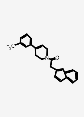 O=C(Cc1ccc2ccccc2c1)N1CC=C(c2cccc(C(F)(F)F)c2)CC1